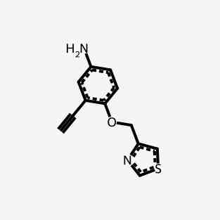 C#Cc1cc(N)ccc1OCc1cscn1